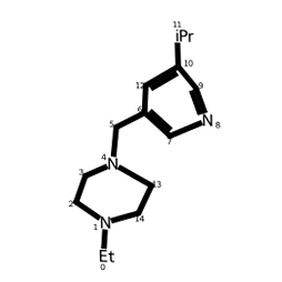 CCN1CCN(Cc2cncc(C(C)C)c2)CC1